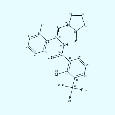 Cc1ccccc1[C@@H](CN1CCCC1C)NC(=O)c1cccc(C(F)(F)F)c1Cl